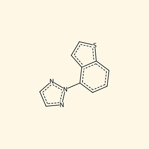 c1cc(-n2nccn2)c2ccsc2c1